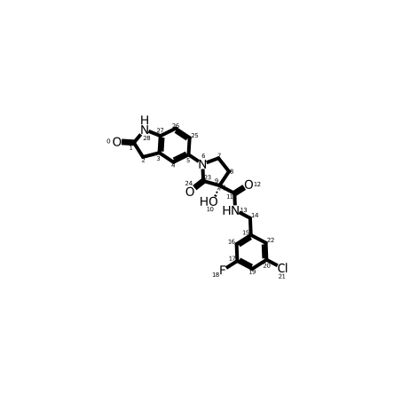 O=C1Cc2cc(N3CC[C@@](O)(C(=O)NCc4cc(F)cc(Cl)c4)C3=O)ccc2N1